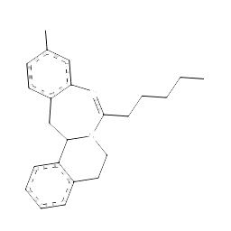 CCCCCC1=Nc2cc(F)ccc2CC2c3ccccc3CCN12